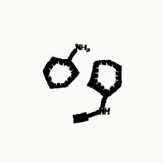 C#CNc1ccccc1.Nc1ccccc1